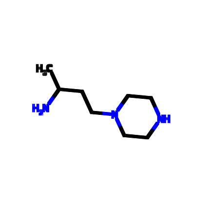 CC(N)CCN1CCNCC1